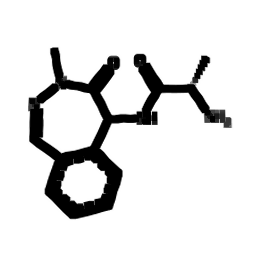 C[C@H](N)C(=O)NC1C(=O)N(C)N=Cc2ccccc21